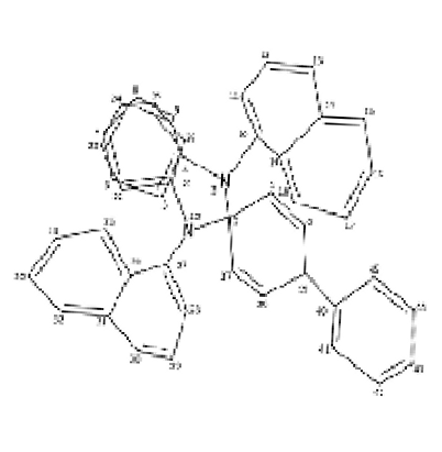 C1=CC(N(c2ccccc2)c2cccc3ccccc23)(N(c2ccccc2)c2cccc3ccccc23)C=CC1c1ccccc1